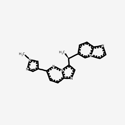 C[C@@H](c1ccc2nccn2c1)c1cnc2ccc(-c3cnn(C)c3)nn12